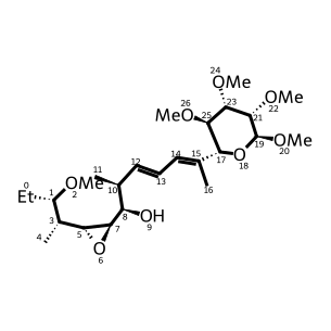 CC[C@H](OC)[C@@H](C)[C@H]1O[C@@H]1[C@H](O)[C@@H](C)/C=C/C=C(\C)[C@H]1O[C@H](OC)[C@@H](OC)[C@@H](OC)[C@@H]1OC